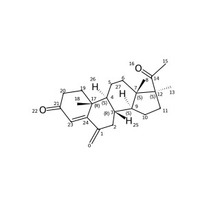 C=C1C[C@@H]2[C@H](CC[C@@]3(C)[C@H]2CC[C@]3(C)C(C)=O)[C@@]2(C)CCC(=O)C=C12